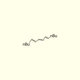 [CH2]CCCC=CC=CC=CCCCC